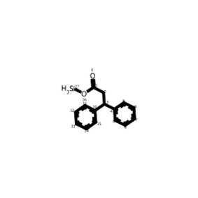 O=C(CC(c1ccccc1)c1ccccc1)O[SiH3]